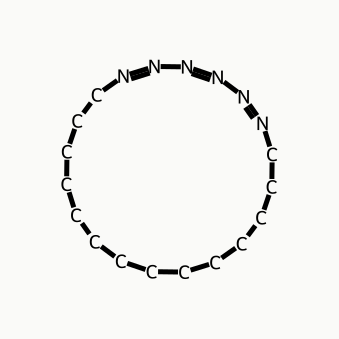 C1CCCCCCCN=NN=NN=NCCCCCC1